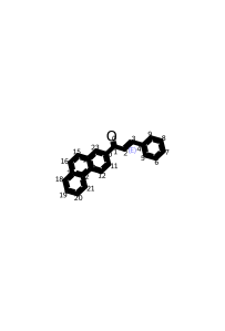 O=C(/C=C/c1ccccc1)c1ccc2c(ccc3ccccc32)c1